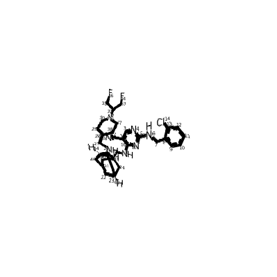 N#Cc1cnc(NCc2ccccc2Cl)nc1NC[C@]12CC3C[C@H](C1)[C@@H](NCC1CCN(C(CF)CF)CC1)[C@@H](C3)C2